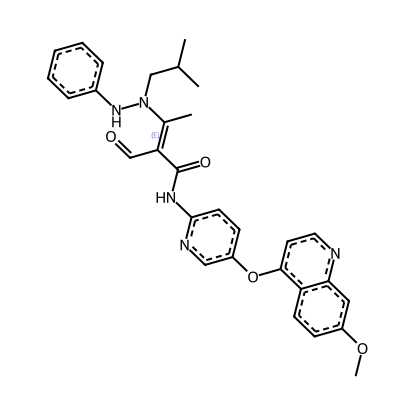 COc1ccc2c(Oc3ccc(NC(=O)/C(C=O)=C(\C)N(CC(C)C)Nc4ccccc4)nc3)ccnc2c1